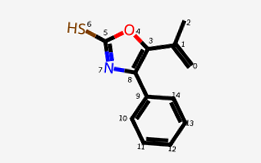 C=C(C)c1oc(S)nc1-c1ccccc1